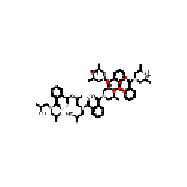 CC(O)CN(CC(C)O)C(=O)c1ccccc1C(=O)OC(C)CN(CC(C)O)C(=O)c1ccccc1C(=O)N(CC(C)OC(=O)c1ccccc1C(=O)N(CC(C)O)CC(C)O)CC(C)OC(=O)c1ccccc1C(=O)N(CC(C)O)CC(C)O